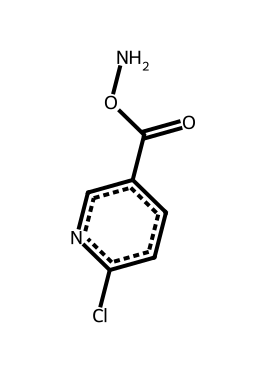 NOC(=O)c1ccc(Cl)nc1